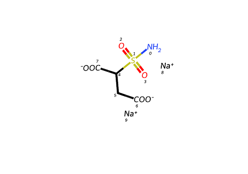 NS(=O)(=O)C(CC(=O)[O-])C(=O)[O-].[Na+].[Na+]